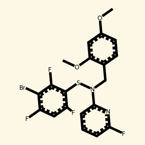 COc1ccc(CN(Sc2c(F)cc(F)c(Br)c2F)c2cccc(F)n2)c(OC)c1